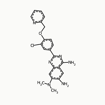 CN(C)c1cc2nc(-c3ccc(OCc4ccccn4)c(Cl)c3)nc(N)c2cc1N